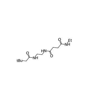 CCNC(=O)CCC(=O)NCCNC(=O)CC(C)(C)C